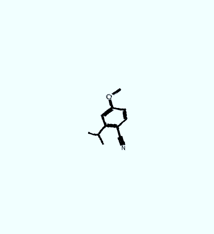 COc1ccc(C#N)c([C](C)C)c1